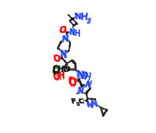 Cn1c(-c2cn(C3CC3)nc2C(F)(F)F)cnc1C(=O)Nc1ccc(C(=O)N2CCN(C(=O)NC3CC(C)(N)C3)CC2)c(Cl)c1.O=CO